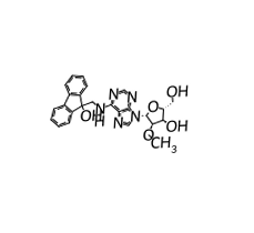 CO[C@@H]1[C@H](O)[C@@H](CO)O[C@H]1n1cnc2c(NCC3(O)c4ccccc4-c4ccccc43)ncnc21